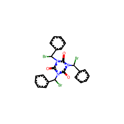 O=c1n(C(Br)c2ccccc2)c(=O)n(C(Br)c2ccccc2)c(=O)n1C(Br)c1ccccc1